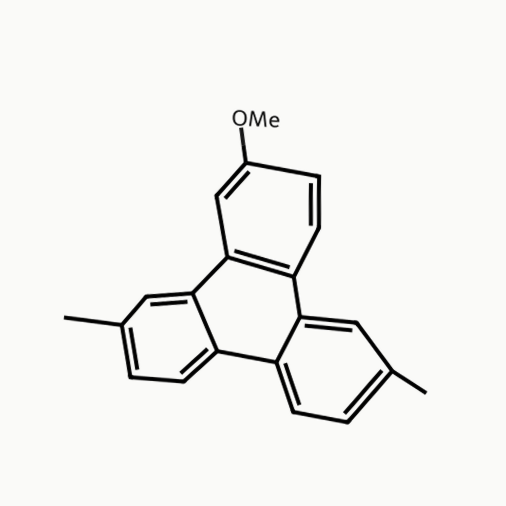 COc1ccc2c3cc(C)ccc3c3ccc(C)cc3c2c1